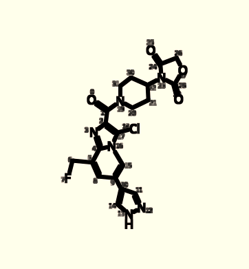 O=C(c1nc2c(CF)cc(-c3cn[nH]c3)cn2c1Cl)N1CCC(N2C(=O)COC2=O)CC1